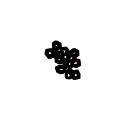 c1ccc(-c2c(N(c3ccc4c(c3)C(c3ccccc3)(c3ccccc3)c3ccccc3-4)c3ccc4ccccc4c3)c3ccccc3c3oc4ccccc4c23)cc1